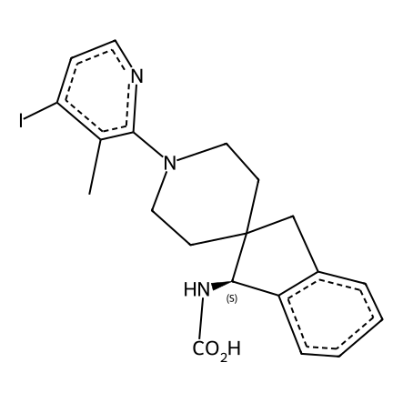 Cc1c(I)ccnc1N1CCC2(CC1)Cc1ccccc1[C@H]2NC(=O)O